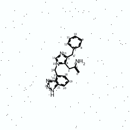 C=C(N)Cc1c(Cc2ccccc2)ncn1Cc1cccc2[nH]nnc12